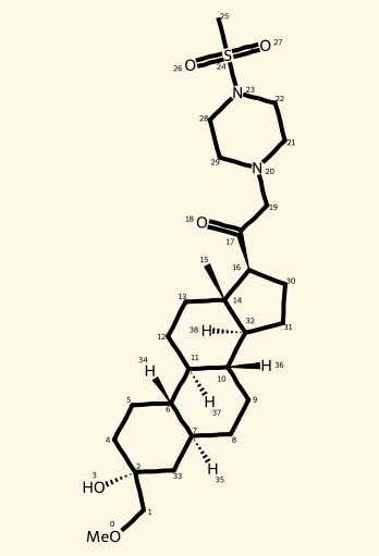 COC[C@@]1(O)CC[C@H]2[C@@H](CC[C@@H]3[C@@H]2CC[C@]2(C)[C@@H](C(=O)CN4CCN(S(C)(=O)=O)CC4)CC[C@@H]32)C1